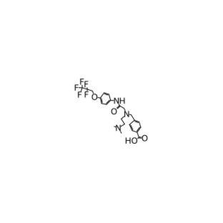 CN(C)CCN(CC(=O)Nc1ccc(OCC(F)(F)C(F)(F)F)cc1)Cc1ccc(C(=O)O)cc1